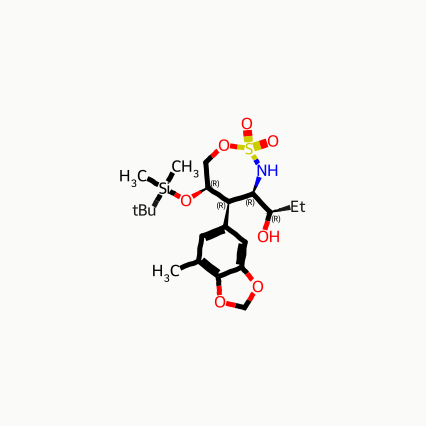 CC[C@@H](O)[C@@H]1NS(=O)(=O)OC[C@H](O[Si](C)(C)C(C)(C)C)[C@@H]1c1cc(C)c2c(c1)OCO2